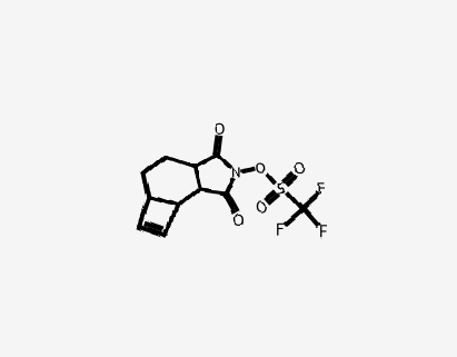 O=C1C2CCC3C=CC3C2C(=O)N1OS(=O)(=O)C(F)(F)F